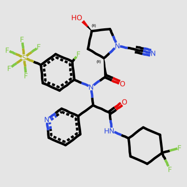 N#CN1C[C@H](O)C[C@@H]1C(=O)N(c1ccc(S(F)(F)(F)(F)F)cc1F)C(C(=O)NC1CCC(F)(F)CC1)c1cccnc1